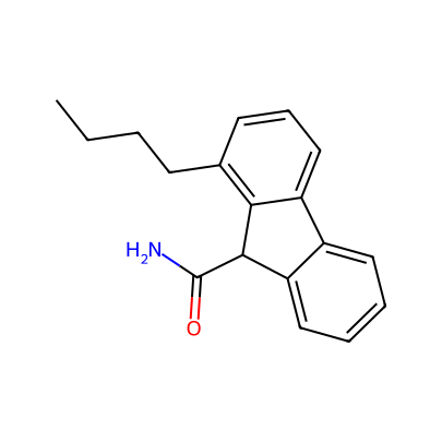 CCCCc1cccc2c1C(C(N)=O)c1ccccc1-2